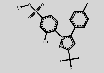 Cc1ccc(-c2cc(C(F)(F)F)nn2-c2ccc(S(=O)(=O)ON)cc2O)cc1